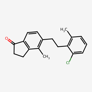 Cc1cccc(Cl)c1CCc1ccc2c(c1C)CCC2=O